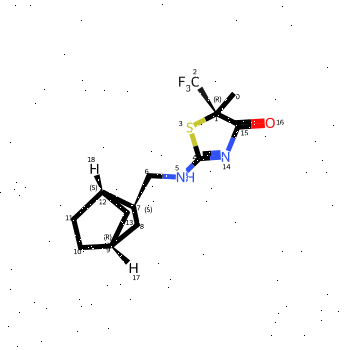 C[C@@]1(C(F)(F)F)SC(NC[C@H]2C[C@@H]3CC[C@H]2C3)=NC1=O